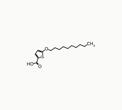 CCCCCCCCCCOc1ccc(C(=O)O)s1